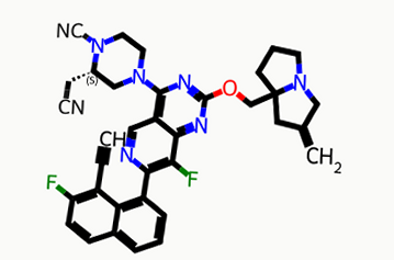 C#Cc1c(F)ccc2cccc(-c3ncc4c(N5CCN(C#N)[C@@H](CC#N)C5)nc(OCC56CCCN5CC(=C)C6)nc4c3F)c12